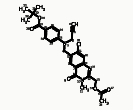 C#CCN(Cc1cc2c(=O)n(C)c(COC(C)=O)nc2cc1Cl)c1ccc(C(=O)OC(C)(C)C)cc1